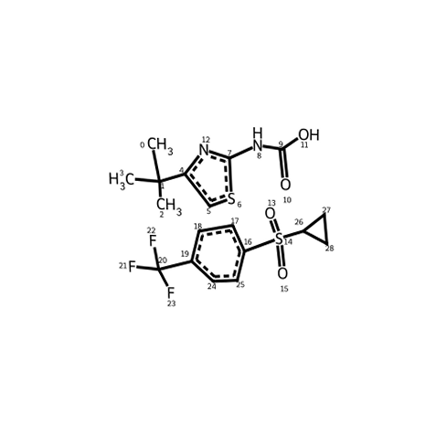 CC(C)(C)c1csc(NC(=O)O)n1.O=S(=O)(c1ccc(C(F)(F)F)cc1)C1CC1